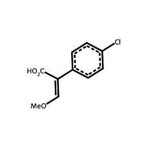 COC=C(C(=O)O)c1ccc(Cl)cc1